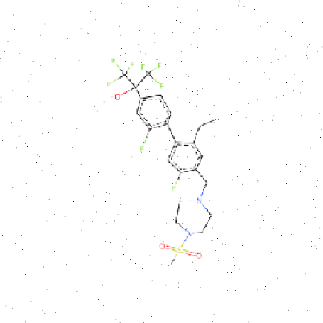 CCc1cc(CN2CCN(S(C)(=O)=O)CC2)c(F)cc1-c1ccc(C(O)(C(F)(F)F)C(F)(F)F)cc1F